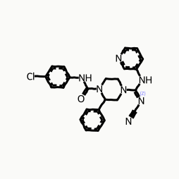 N#C/N=C(/Nc1cccnc1)N1CCN(C(=O)Nc2ccc(Cl)cc2)C(c2ccccc2)C1